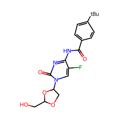 CC(C)(C)c1ccc(C(=O)Nc2nc(=O)n(C3COC(CO)O3)cc2F)cc1